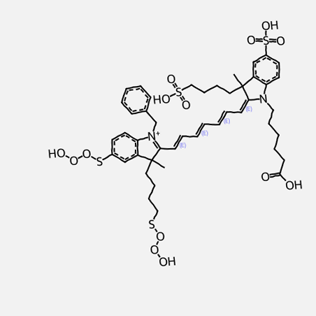 CC1(CCCCSOOO)C(/C=C/C=C/C=C/C=C2/N(CCCCCC(=O)O)c3ccc(S(=O)(=O)O)cc3C2(C)CCCCS(=O)(=O)O)=[N+](Cc2ccccc2)c2ccc(SOOO)cc21